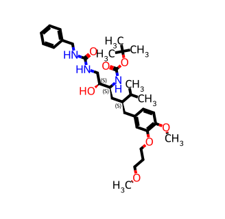 COCCCOc1cc(C[C@@H](C[C@H](NC(=O)OC(C)(C)C)[C@@H](O)CNC(=O)NCc2ccccc2)C(C)C)ccc1OC